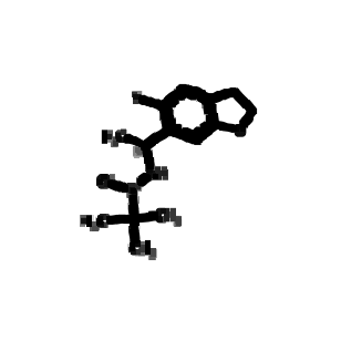 C[C@H](N[S+]([O-])C(C)(C)C)c1cc2c(cc1F)CCO2